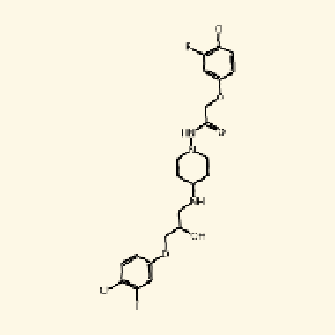 O=C(COc1ccc(Cl)c(F)c1)NN1CCC(NCC(O)COc2ccc(Cl)c(F)c2)CC1